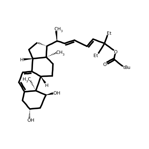 CCC(/C=C/C=C/[C@H](C)[C@H]1CC[C@H]2C3=CC=C4C[C@@H](O)C[C@H](O)[C@]4(C)[C@H]3CC[C@]12C)(CC)OC(=O)C(C)(C)C